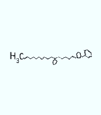 CCCCCCCCCCCC(=O)CCCCCCOCc1ccccc1